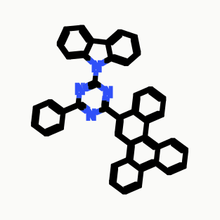 c1ccc(-c2nc(-c3cc4c5ccccc5c5ccccc5c4c4ccccc34)nc(-n3c4ccccc4c4ccccc43)n2)cc1